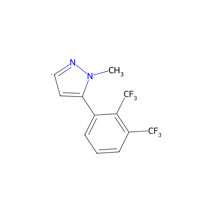 Cn1n[c]cc1-c1cccc(C(F)(F)F)c1C(F)(F)F